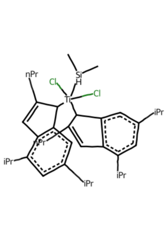 CCCC1=Cc2c(C(C)C)cc(C(C)C)cc2[CH]1[Ti]([Cl])([Cl])([CH]1C(CCC)=Cc2c(C(C)C)cc(C(C)C)cc21)[SiH](C)C